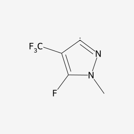 Cn1n[c]c(C(F)(F)F)c1F